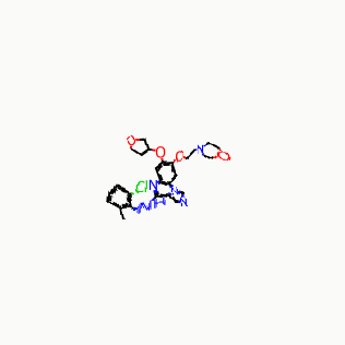 Cc1cccc(Cl)c1Nc1nc2cc(OC3CCOC3)c(OCCN3CCOCC3)cc2n2cncc12